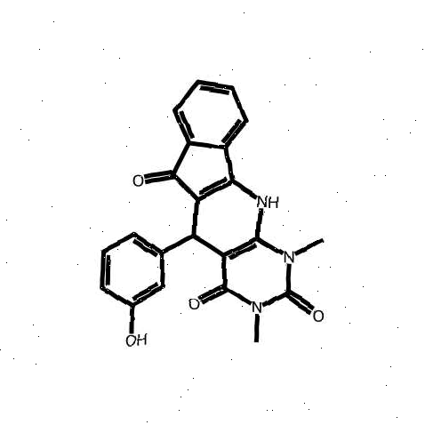 Cn1c2c(c(=O)n(C)c1=O)C(c1cccc(O)c1)C1=C(N2)c2ccccc2C1=O